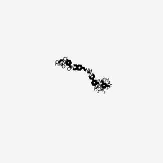 Cc1nc(N[C@H](C)c2cc(N)cc(C(F)(F)F)c2)c2cc(C3CCN(CCNCCC4CCC5(CC4)CCN(C(=O)c4ccc(Cl)c(N6CCC(=O)NC6=O)c4)CC5)CC3)ccc2n1